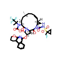 C[C@@H]1CCC=C[C@@H]2C[C@@]2(C(=O)NS(=O)(=O)C2(CF)CC2)NC(=O)[C@@H]2C[C@@H](Oc3nc4c(c5ccccc35)CCCO4)CN2C(=O)[C@@H](N(C(=O)O)C(C)(C)C(F)(F)F)[C@H](C)C1